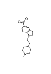 CN1CCC(CCn2ccc3cc([N+](=O)[O-])ccc32)CC1